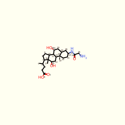 CC(CCC(=O)O)C1CCC2C3C(CC(O)C12C)[C@@]1(C)CCC(NC(=O)CN)CC1C[C@@H]3O